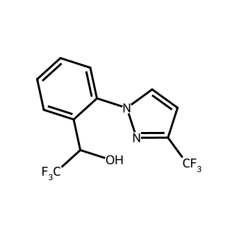 OC(c1ccccc1-n1ccc(C(F)(F)F)n1)C(F)(F)F